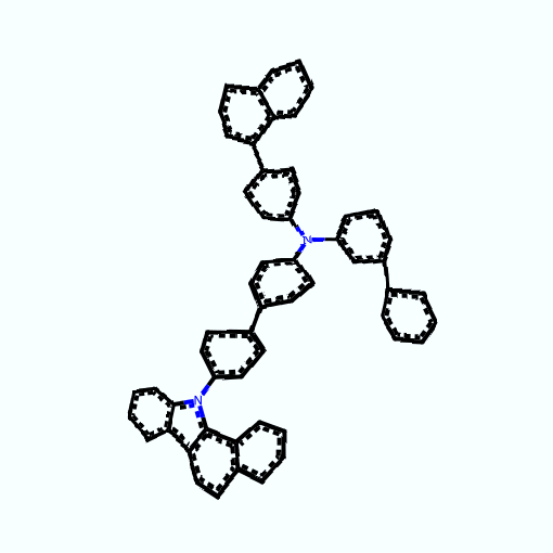 c1ccc(-c2cccc(N(c3ccc(-c4ccc(-n5c6ccccc6c6ccc7ccccc7c65)cc4)cc3)c3ccc(-c4cccc5ccccc45)cc3)c2)cc1